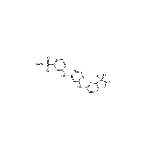 CNS(=O)(=O)c1cccc(Nc2cc(Nc3ccc4c(c3)S(=O)(=O)NC4)ncn2)c1